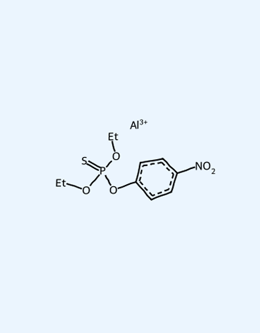 CCOP(=S)(OCC)Oc1ccc([N+](=O)[O-])cc1.[Al+3]